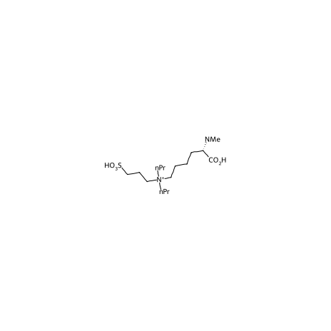 CCC[N+](CCC)(CCCC[C@H](NC)C(=O)O)CCCS(=O)(=O)O